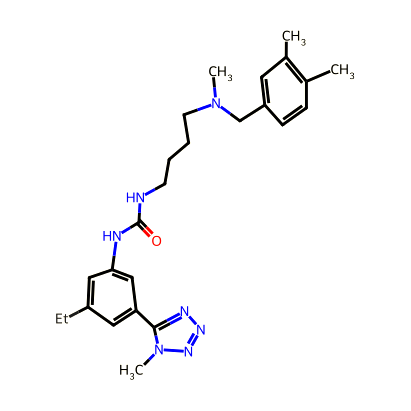 CCc1cc(NC(=O)NCCCCN(C)Cc2ccc(C)c(C)c2)cc(-c2nnnn2C)c1